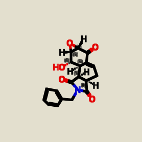 O=C1C2=CC[C@H]3C(=O)N(Cc4ccccc4)C(=O)[C@H]3[C@H]2[C@H](O)[C@@H]2O[C@H]12